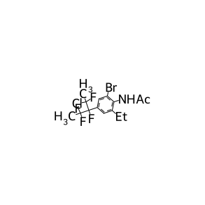 CCc1cc(C(F)(C(C)(F)F)C(C)(F)Cl)cc(Br)c1NC(C)=O